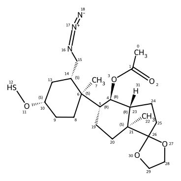 CC(=O)O[C@@H]1[C@@H]([C@@]2(C)CC[C@H](OS)C[C@@H]2CN=[N+]=[N-])CC[C@@]2(C)[C@H]1CCC21OCCO1